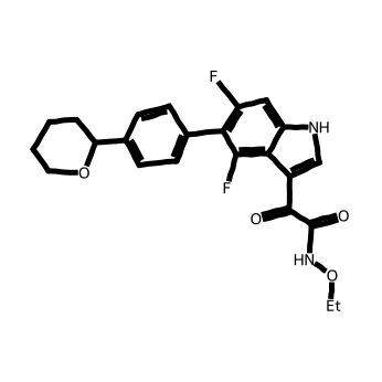 CCONC(=O)C(=O)c1c[nH]c2cc(F)c(-c3ccc(C4CCCCO4)cc3)c(F)c12